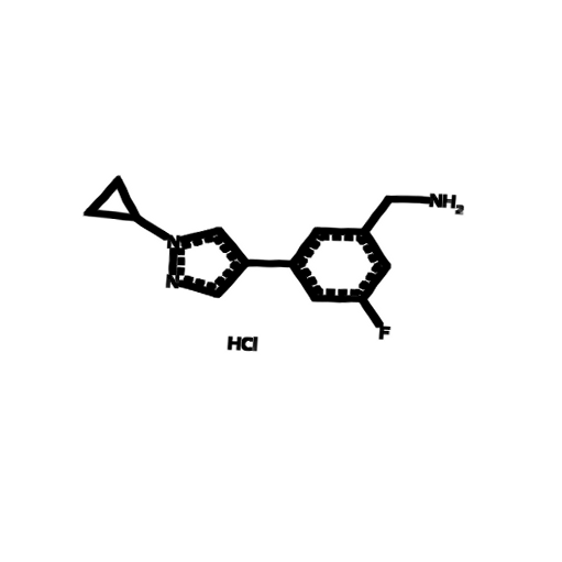 Cl.NCc1cc(F)cc(-c2cnn(C3CC3)c2)c1